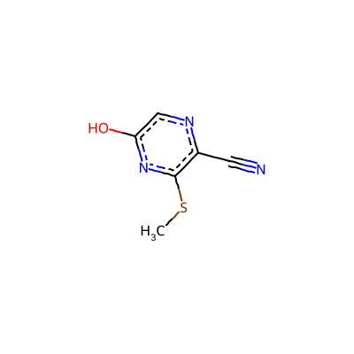 CSc1nc(O)cnc1C#N